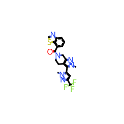 Cn1nc(C(F)(F)F)cc1-c1c2c(nn1C)CN(C(=O)c1cccc3ncsc13)CC2